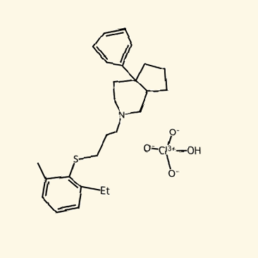 CCc1cccc(C)c1SCCCN1CCC2(c3ccccc3)CCCC2C1.[O-][Cl+3]([O-])([O-])O